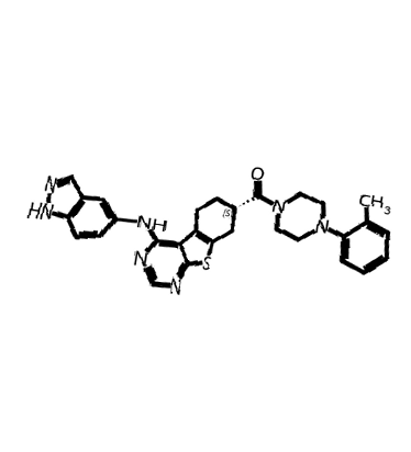 Cc1ccccc1N1CCN(C(=O)[C@H]2CCc3c(sc4ncnc(Nc5ccc6[nH]ncc6c5)c34)C2)CC1